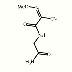 CON=C(C#N)C(=O)NCC(N)=O